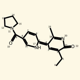 CCC1=CC(=C2C=CC(C(=O)N3CCCC3)=CN2)C(C)=NC1=O